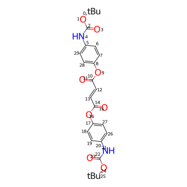 CC(C)(C)OC(=O)Nc1ccc(OC(=O)/C=C/C(=O)Oc2ccc(NC(=O)OC(C)(C)C)cc2)cc1